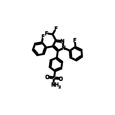 NS(=O)(=O)c1ccc(-c2c(-c3ccccc3F)c(C(F)F)nn2-c2ccccc2F)cc1